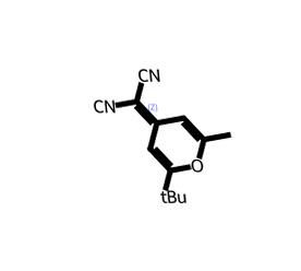 [C-]#[N+]/C(C#N)=C1/C=C(C)OC(C(C)(C)C)=C1